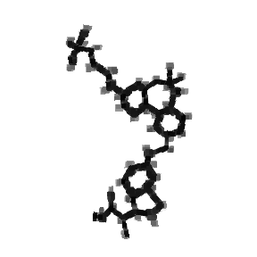 CC(C(=O)O)C1OCc2cc(OCc3ccc4c(c3)-c3ccc(OCCCS(C)(=O)=O)cc3CC(C)(C)O4)ccc21